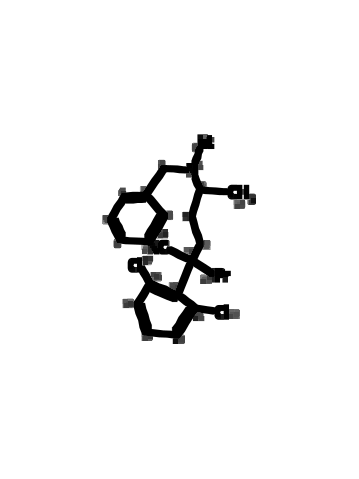 CCN(Cc1ccccc1)C(C)CCC(C#N)(c1c(Cl)cccc1Cl)C(C)C